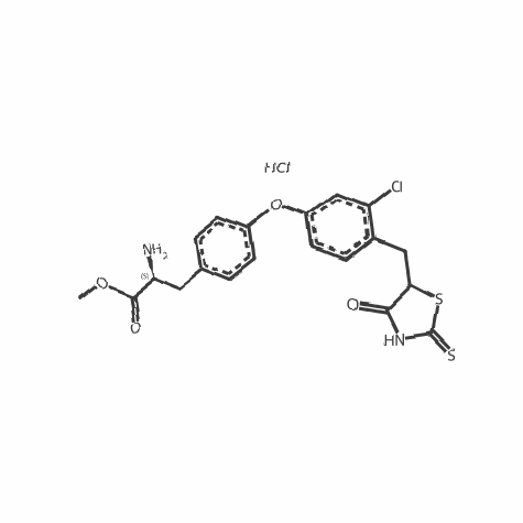 COC(=O)[C@@H](N)Cc1ccc(Oc2ccc(CC3SC(=S)NC3=O)c(Cl)c2)cc1.Cl